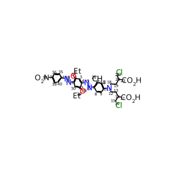 CCOc1cc(/N=N/c2ccc(N(CCC(CCl)C(=O)O)CCC(CCl)C(=O)O)cc2C)c(OCC)cc1/N=N/c1ccc([N+](=O)[O-])cc1